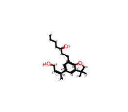 CCCCC(=O)CCc1cc(/C(C)=C\CO)cc2c1OCC2(C)C